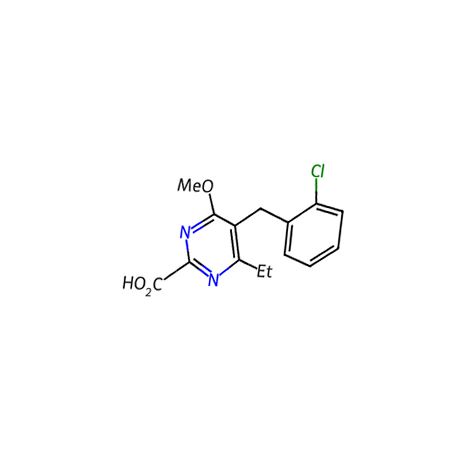 CCc1nc(C(=O)O)nc(OC)c1Cc1ccccc1Cl